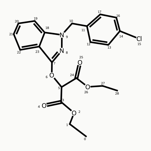 CCOC(=O)C(Oc1nn(Cc2ccc(Cl)cc2)c2ccccc12)C(=O)OCC